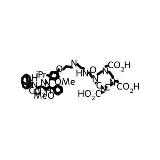 COc1cccc(OC)c1-c1cc(C(=O)NC2(C(=O)O)C3CC4CC(C3)CC2C4)nn1-c1ccc(OCCCN(C)CCCNC(=O)CN2CCN(CC(=O)O)CCN(CC(=O)O)CCN(CC(=O)O)CC2)cc1C(C)C